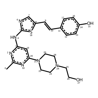 Cc1nc(Nc2ncc(C=Cc3ccc(O)cc3)s2)cc(N2CCN(CCO)CC2)n1